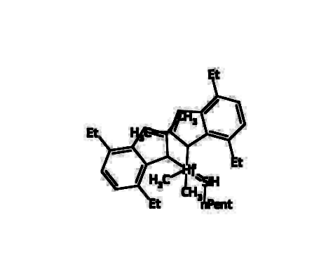 CCCCC[SiH]=[Hf]([CH3])([CH3])([CH]1C(C)=Cc2c(CC)ccc(CC)c21)[CH]1C(C)=Cc2c(CC)ccc(CC)c21